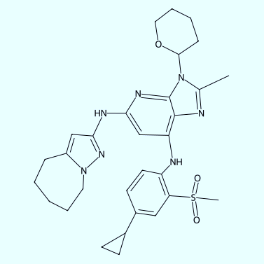 Cc1nc2c(Nc3ccc(C4CC4)cc3S(C)(=O)=O)cc(Nc3cc4n(n3)CCCCC4)nc2n1C1CCCCO1